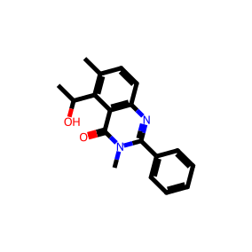 Cc1ccc2nc(-c3ccccc3)n(C)c(=O)c2c1C(C)O